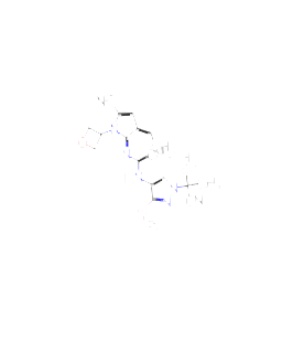 C=C(/N=C1\C(=C/C)C=C(C#N)N1C1COC1)Nc1cn(C(C)(C)C#N)nc1OC(C)C